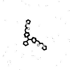 O=C(Cc1ccc(C(c2ccc(CC(=O)CN3CCCC3)cc2)C2CCCC2)cc1)CN1CCCC1